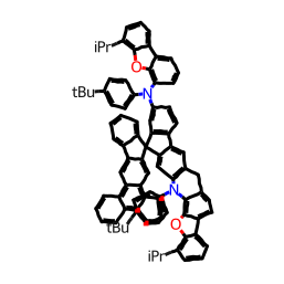 CC(C)c1cccc2c1oc1c(N(c3ccc(C(C)(C)C)cc3)c3ccc4c(c3)C3(c5ccccc5-c5cc6c7ccccc7c7ccccc7c6cc53)c3cc5c(cc3-4)Cc3ccc4c(oc6c(C(C)C)cccc64)c3N5c3ccc(C(C)(C)C)cc3)cccc12